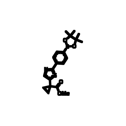 COC(=O)C1(c2cnc(-c3ccc(B4OC(C)(C)C(C)(C)O4)cc3)s2)CC1